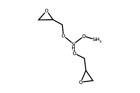 [SiH3]O[SiH](OCC1CO1)OCC1CO1